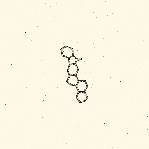 c1ccc2c(c1)ccc1c3cc4[nH]c5ccccc5c4cc3ccc21